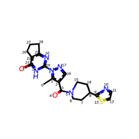 Cc1c(C(=O)N2CCC(c3nccs3)CC2)cnn1-c1nc2c(c(=O)[nH]1)CCC2